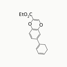 CCOC(=O)C1=COc2cc(C3=CC=CCC3)ccc2O1